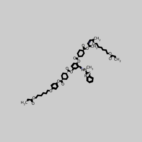 C=CC(=O)OCCCCCCOC(=C)/C=C\C(=C)OC(=O)[C@H]1CC[C@H](C(=O)Oc2ccc(OC(=O)[C@H]3CC[C@H](C(=O)Oc4ccc(OCCCCCCOC(=O)C=C)cc4)CC3)cc2/C=N/N(C)c2nc3ccccc3s2)CC1